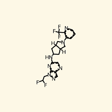 FC(F)Cn1ncc2ncc(NC3C[C@@H]4CN(c5cccnc5C(F)(F)F)C[C@@H]4C3)nc21